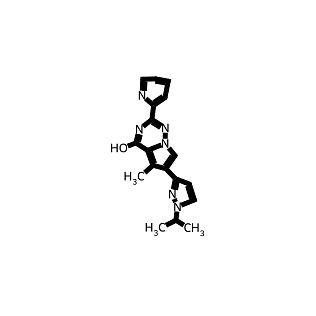 Cc1c(-c2ccn(C(C)C)n2)cn2nc(-c3ccccn3)nc(O)c12